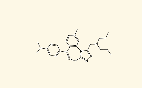 CCCN(CCC)Cc1nnc2n1-c1cc(C)ccc1C(c1ccc(C(C)C)cc1)=NC2